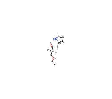 CCOCC(C)(C)C(=O)Cc1ccc[nH]1